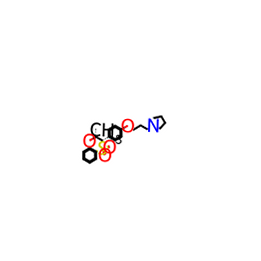 C[C@H]1Oc2ccccc2S(=O)(=O)[C@H]1c1ccc(OCCCN2CCCC2)cc1